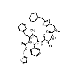 CC(C)[C@H](NC(=O)N(C)Cc1csc(CC2CCCCC2)n1)C(=O)N[C@@H](Cc1ccccc1)C[C@H](O)[C@H](Cc1ccccc1)NC(=O)OCc1ccno1